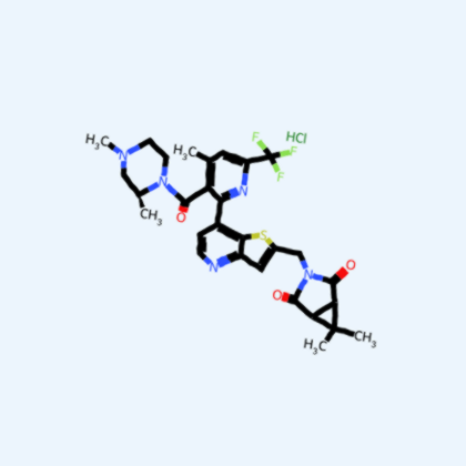 Cc1cc(C(F)(F)F)nc(-c2ccnc3cc(CN4C(=O)C5C(C4=O)C5(C)C)sc23)c1C(=O)N1CCN(C)C[C@@H]1C.Cl